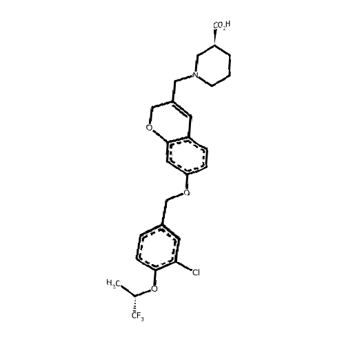 C[C@H](Oc1ccc(COc2ccc3c(c2)OCC(CN2CCC[C@H](C(=O)O)C2)=C3)cc1Cl)C(F)(F)F